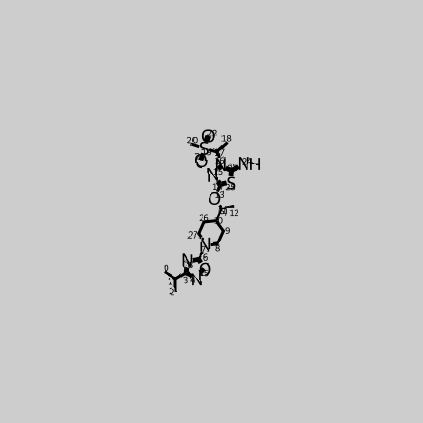 CC(C)c1noc(N2CCC([C@H](C)Oc3nn(C(C)S(C)(=O)=O)c(=N)s3)CC2)n1